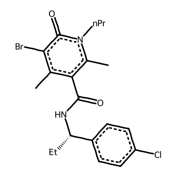 CCCn1c(C)c(C(=O)N[C@@H](CC)c2ccc(Cl)cc2)c(C)c(Br)c1=O